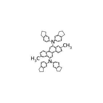 Cc1ccc2c(c1)c(N(c1ccc3c(c1)CCC3)c1ccc3c(c1)CCC3)cc1c3ccc(C)cc3c(N(c3ccc4c(c3)CCC4)c3ccc4c(c3)CCC4)cc21